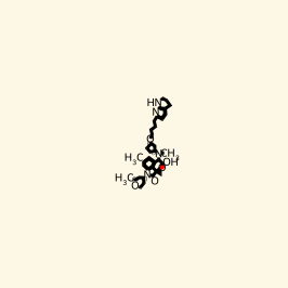 Cc1cc(C(C(=O)O)N(C)[C@H]2CC[C@H](OCCCCc3ccc4c(n3)NCCC4)C2)c2c(c1)N([C@@H]1CCO[C@H](C)C1)C(=O)C21CC1